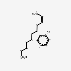 CCCCCCCC/C=C\CCCCCCCC(=O)O.[Na].c1ccncc1